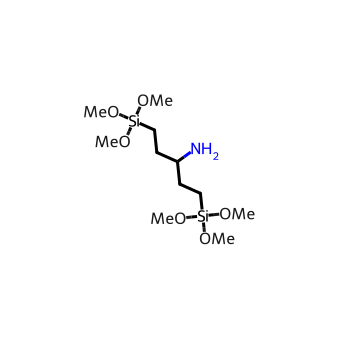 CO[Si](CCC(N)CC[Si](OC)(OC)OC)(OC)OC